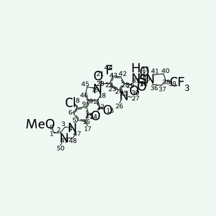 COC[C@H]1CN(c2cc(Cl)c3c4c(c(=O)oc3c2C)CN(C(=O)c2cc(N(C)C)c(C(=O)NS(=O)(=O)N3CCC(C(F)(F)F)CC3)cc2F)CC4)CCN1C